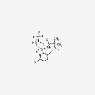 CC(C)(C)[S+]([O-])N[C@@](C[C@@H](O)C(F)(F)F)(c1nc(Br)ccc1F)C(F)F